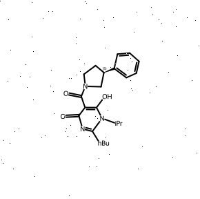 CCCCc1nc(=O)c(C(=O)N2CC[C@@H](c3ccccc3)C2)c(O)n1C(C)C